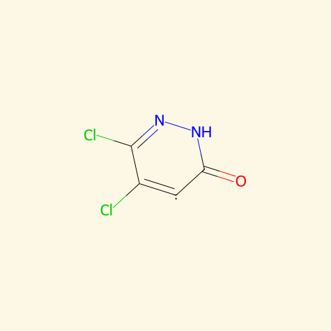 O=c1[c]c(Cl)c(Cl)n[nH]1